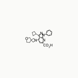 O=C(O)c1cc(N2CC3(CCOC3)C2)c2c(C3CCC3)nn(-c3ccccc3)c2n1